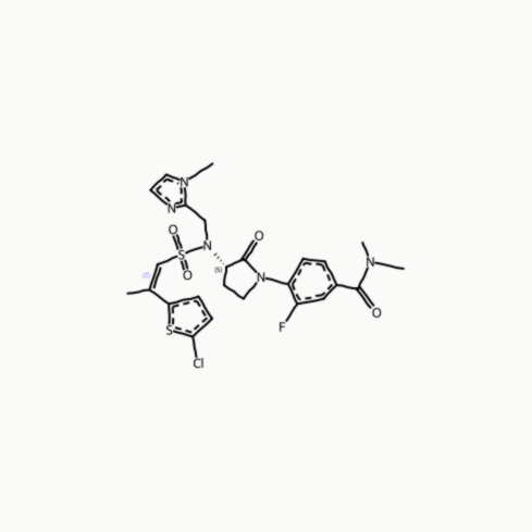 C/C(=C/S(=O)(=O)N(Cc1nccn1C)[C@H]1CCN(c2ccc(C(=O)N(C)C)cc2F)C1=O)c1ccc(Cl)s1